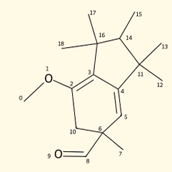 COC1=C2C(=CC(C)(C=O)C1)C(C)(C)C(C)C2(C)C